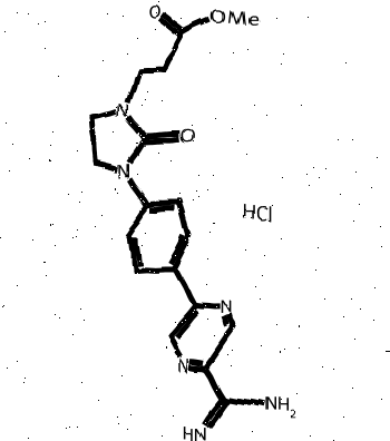 COC(=O)CCN1CCN(c2ccc(-c3cnc(C(=N)N)cn3)cc2)C1=O.Cl